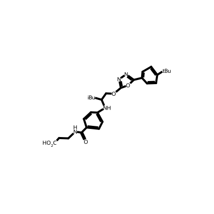 CCC(C)C(COc1nnc(-c2ccc(C(C)(C)C)cc2)o1)Nc1ccc(C(=O)NCCC(=O)O)cc1